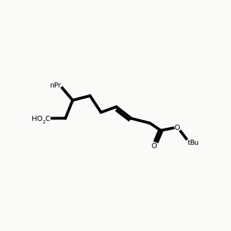 CCCC(CC/C=C/CC(=O)OC(C)(C)C)CC(=O)O